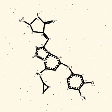 Cc1ccc(Nc2cc(NC3CC3)n3ncc(/C=C4\CC(O)NC4=O)c3n2)cc1Cl